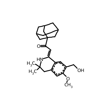 COc1cc2c(cc1CO)C(=CC(=O)C13CC4CC(CC(C4)C1)C3)NC(C)(C)C2